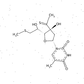 CSCC(O)[C@H]1O[C@@H](n2cc(C)c(=O)[nH]c2=O)C[C@@]1(O)C(C)=S